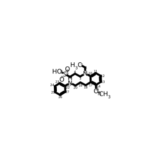 CCN(CCCS(=O)(=O)O)c1cccc(OC)c1CCCNc1ccccc1